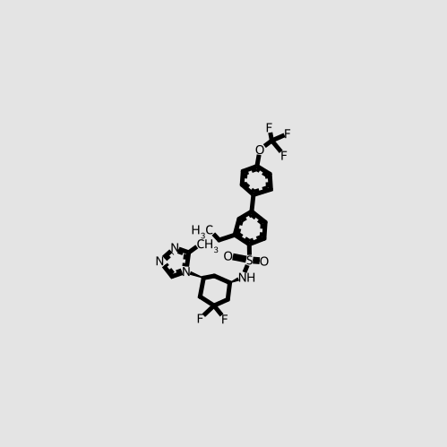 CCc1cc(-c2ccc(OC(F)(F)F)cc2)ccc1S(=O)(=O)N[C@@H]1C[C@H](n2cnnc2C)CC(F)(F)C1